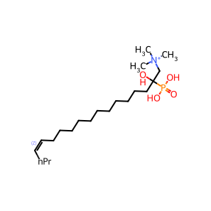 CCC/C=C\CCCCCCCCCCCC(O)(C[N+](C)(C)C)P(=O)(O)O